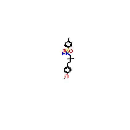 COc1ccc(CCC(C)(C)CNS(=O)(=O)c2ccc(C)cc2)cc1